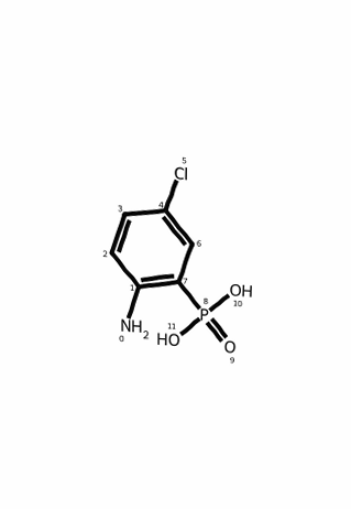 Nc1ccc(Cl)cc1P(=O)(O)O